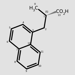 C[C@@H](Cc1cccc2ccccc12)C(=O)O